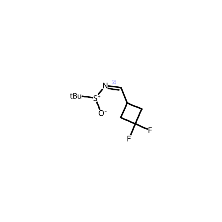 CC(C)(C)[S+]([O-])/N=C\C1CC(F)(F)C1